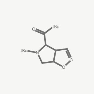 CC(C)(C)C(=O)C1C2C=NOC2CN1C(C)(C)C